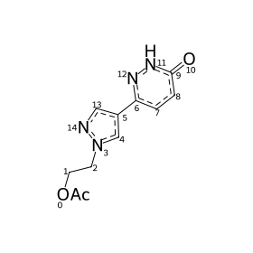 CC(=O)OCCn1cc(-c2ccc(=O)[nH]n2)cn1